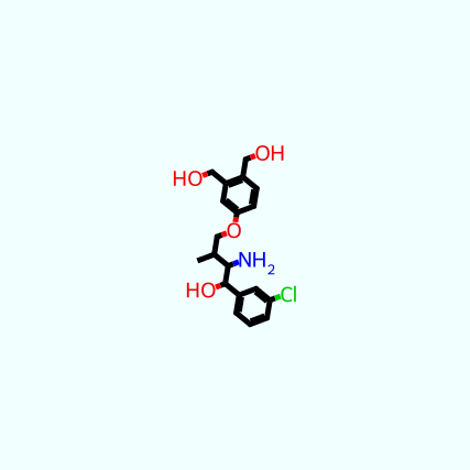 CC(COc1ccc(CO)c(CO)c1)C(N)C(O)c1cccc(Cl)c1